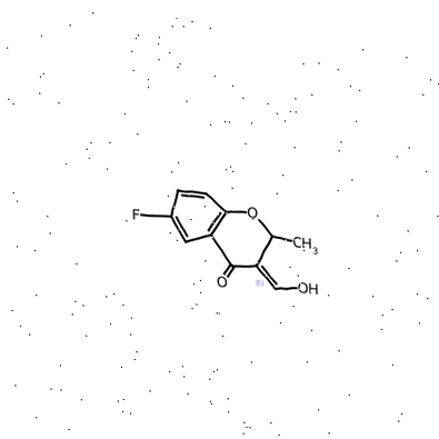 CC1Oc2ccc(F)cc2C(=O)/C1=C/O